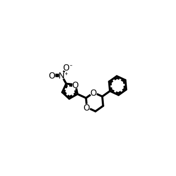 O=[N+]([O-])c1ccc(C2OCCC(c3ccccc3)O2)o1